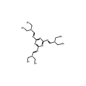 CC(C)CN(C=Nc1nc(N=CN(CC(C)C)CC(C)C)nc(N=CN(CC(C)C)CC(C)C)n1)CC(C)C